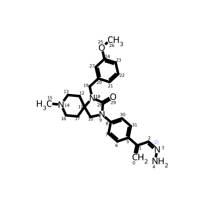 C=C(/C=N\N)c1ccc(N2CC3(CCN(C)CC3)N(Cc3cccc(OC)c3)C2=O)cc1